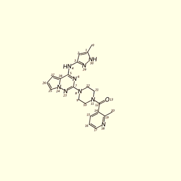 Cc1cc(Nc2nc(N3CCN(C(=O)c4cccnc4C)CC3)nn3cccc23)n[nH]1